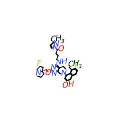 CCc1c(F)ccc2cc(O)cc(N3CCc4c(nc(OC[C@@]56CCCN5C[C@H](F)C6)nc4NCCCC(=O)n4ccc(C)n4)C3)c12